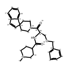 CN1CCC(C(=O)N[C@H](COCc2ccccc2)C(=O)N2CCC3(C=Cc4ccccc43)CC2)CC1